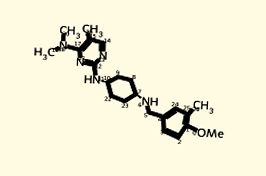 COc1ccc(CN[C@H]2CC[C@@H](Nc3ncc(C)c(N(C)C)n3)CC2)cc1C